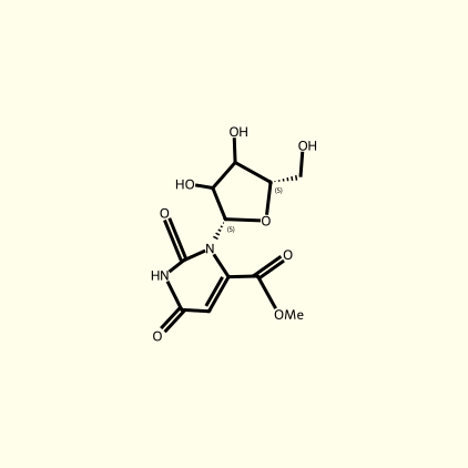 COC(=O)c1cc(=O)[nH]c(=O)n1[C@H]1O[C@@H](CO)C(O)C1O